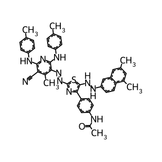 CC(=O)Nc1ccc(-c2nc(N=Nc3c(Nc4ccc(C)cc4)nc(Nc4ccc(C)cc4)c(C#N)c3C)sc2NNc2ccc3c(C)cc(C)cc3c2)cc1